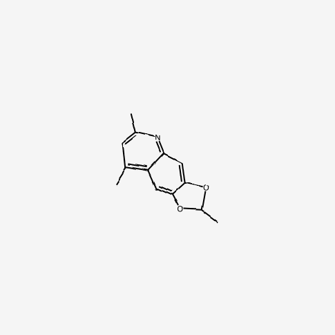 Cc1cc(C)c2cc3c(cc2n1)OC(C)O3